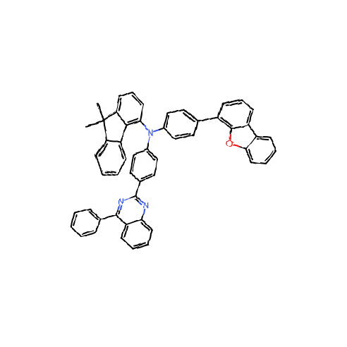 CC1(C)c2ccccc2-c2c(N(c3ccc(-c4nc(-c5ccccc5)c5ccccc5n4)cc3)c3ccc(-c4cccc5c4oc4ccccc45)cc3)cccc21